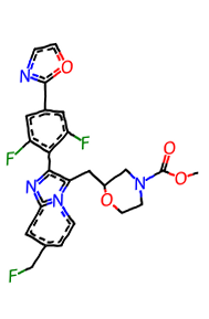 COC(=O)N1CCOC(Cc2c(-c3c(F)cc(-c4ncco4)cc3F)nc3cc(CF)ccn23)C1